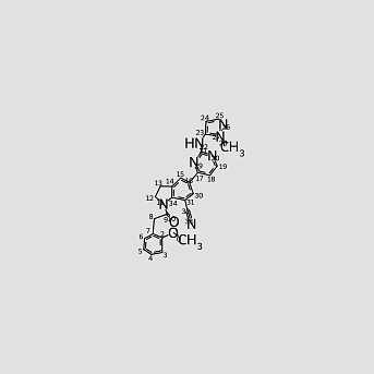 COc1ccccc1CC(=O)N1CCc2cc(-c3ccnc(Nc4ccnn4C)n3)cc(C#N)c21